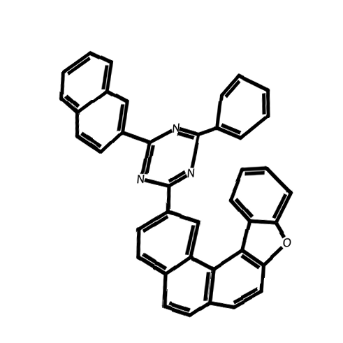 c1ccc(-c2nc(-c3ccc4ccccc4c3)nc(-c3ccc4ccc5ccc6oc7ccccc7c6c5c4c3)n2)cc1